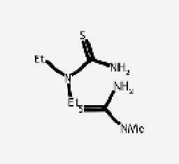 CCN(CC)C(N)=S.CNC(N)=S